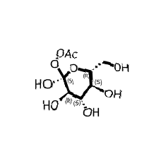 CC(=O)OO[C@@]1(O)O[C@H](CO)[C@@H](O)[C@H](O)[C@H]1O